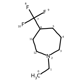 CCN1CCCC(C(F)(F)F)CC1